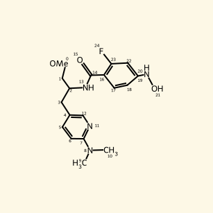 COCC(Cc1ccc(N(C)C)nc1)NC(=O)c1ccc(NO)cc1F